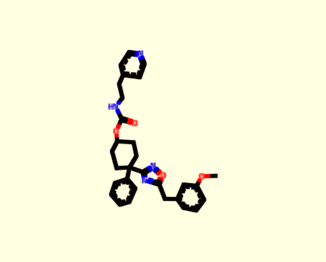 COc1cccc(Cc2nc(C3(c4ccccc4)CCC(OC(=O)NCCc4ccncc4)CC3)no2)c1